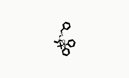 C=C[C@H](CSCc1ccccc1)O[Si](c1ccccc1)(c1ccccc1)C(C)(C)C